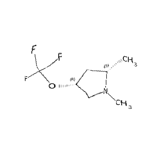 C[C@H]1C[C@@H](OC(F)(F)F)CN1C